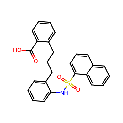 O=C(O)c1ccccc1CCCc1ccccc1NS(=O)(=O)c1cccc2ccccc12